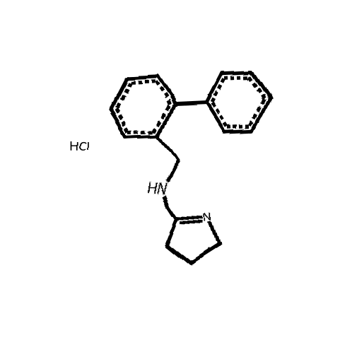 Cl.c1ccc(-c2ccccc2CNC2=NCCC2)cc1